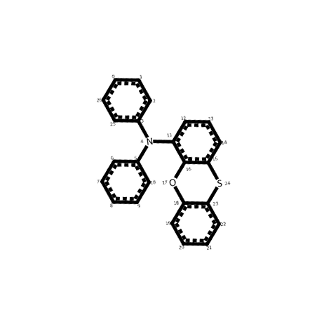 c1ccc(N(c2ccccc2)c2cccc3c2Oc2ccccc2S3)cc1